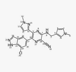 Cn1ccc(CNc2nc(-c3ccn(C)n3)c(-c3cc(Cl)c4[nH]ncc4c3)nc2C#N)c1